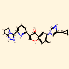 Cc1cc2occ(-c3cccc(-c4nnc5n4CCC5)n3)c(=O)c2cc1-n1cnc(C2CC2)c1